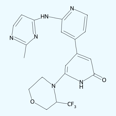 Cc1nccc(Nc2cc(-c3cc(N4CCOCC4C(F)(F)F)[nH]c(=O)c3)ccn2)n1